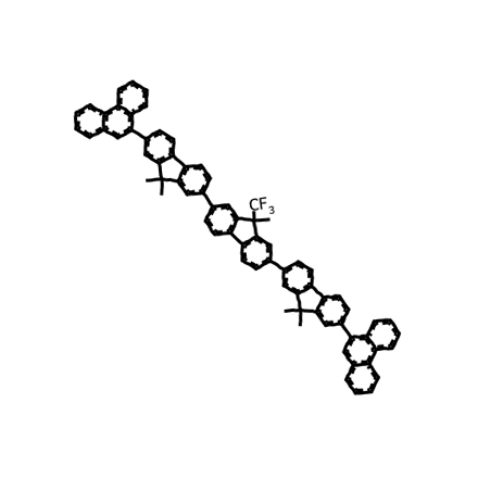 CC1(C)c2cc(-c3ccc4c(c3)C(C)(C(F)(F)F)c3cc(-c5ccc6c(c5)C(C)(C)c5cc(-c7cc8ccccc8c8ccccc78)ccc5-6)ccc3-4)ccc2-c2ccc(-c3cc4ccccc4c4ccccc34)cc21